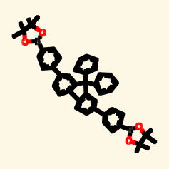 CC1(C)OB(c2ccc(-c3ccc4c(c3)C(c3ccccc3)(c3ccccc3)c3cc(-c5ccc(B6OC(C)(C)C(C)(C)O6)cc5)ccc3-4)cc2)OC1(C)C